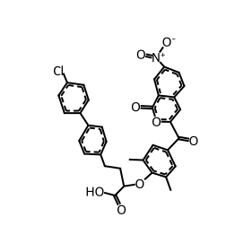 Cc1cc(C(=O)c2cc3ccc([N+](=O)[O-])cc3c(=O)o2)cc(C)c1OC(CCc1ccc(-c2ccc(Cl)cc2)cc1)C(=O)O